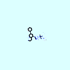 CS(=O)(=O)N1CC(CC#N)(n2ncc(-c3cc(-c4ccccc4O)cc4ncccc34)n2)C1